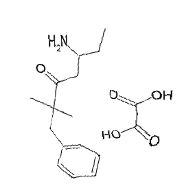 CCC(N)CC(=O)C(C)(C)Cc1ccccc1.O=C(O)C(=O)O